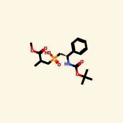 COC(=O)C(C)CP(=O)(O)C[C@@H](NC(=O)OC(C)(C)C)c1ccccc1